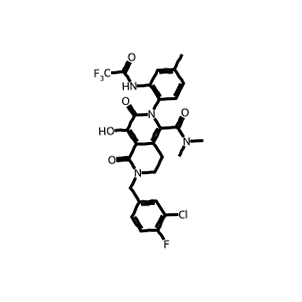 Cc1ccc(-n2c(C(=O)N(C)C)c3c(c(O)c2=O)C(=O)N(Cc2ccc(F)c(Cl)c2)CC3)c(NC(=O)C(F)(F)F)c1